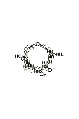 C[C@@H]1NC(=O)[C@H](Cc2ccc(O)cc2)NC(=O)[C@H](Cc2cnc[nH]2)NC(=O)[C@H](CC(=O)O)NC(=O)[C@H](Cc2c[nH]c3ccc(F)cc23)NC(=O)[C@H](Cc2c[nH]c3ccc(F)cc23)NC(=O)CNC(=O)[C@H](CCCCN)NC(=O)CCSCc2cccc(c2)CSC[C@@H](C(N)=O)NC1=O